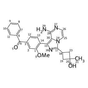 COc1cc(C(=O)c2ccccc2)ccc1-c1nc(C2CC(C)(O)C2)n2ccnc(N)c12